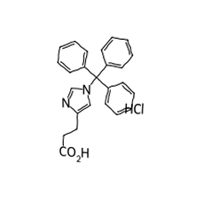 Cl.O=C(O)CCc1cn(C(c2ccccc2)(c2ccccc2)c2ccccc2)cn1